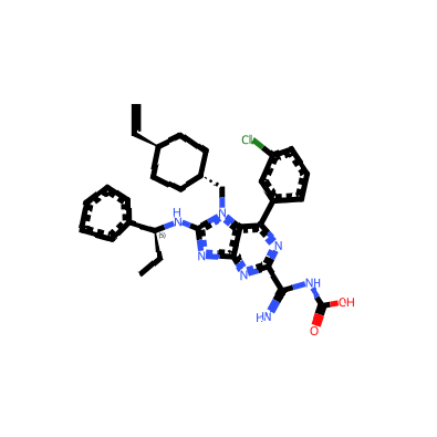 C=C[C@H]1CC[C@H](Cn2c(N[C@@H](CC)c3ccccc3)nc3nc(C(=N)NC(=O)O)nc(-c4cccc(Cl)c4)c32)CC1